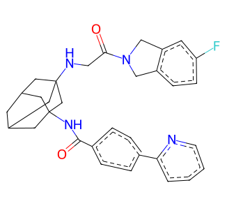 O=C(NC12CC3CC(CC(NCC(=O)N4Cc5ccc(F)cc5C4)(C3)C1)C2)c1ccc(-c2ccccn2)cc1